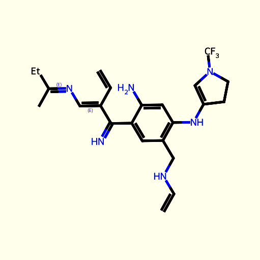 C=CNCc1cc(C(=N)/C(C=C)=C/N=C(\C)CC)c(N)cc1NC1=CN(C(F)(F)F)CC1